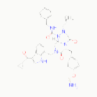 C=CCN1CC(=O)N2[C@@H](Cc3ccc(OSN)cc3)C(=O)N(Cc3cccc4c(C(=O)C5CC5)c[nH]c34)C[C@@H]2N1C(=O)NCc1ccccc1